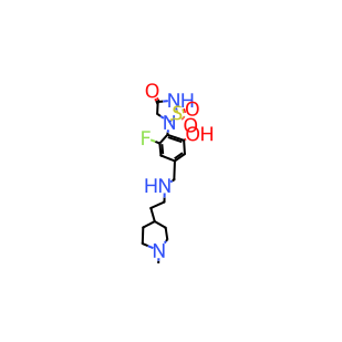 CN1CCC(CCNCc2cc(O)c(N3CC(=O)NS3(=O)=O)c(F)c2)CC1